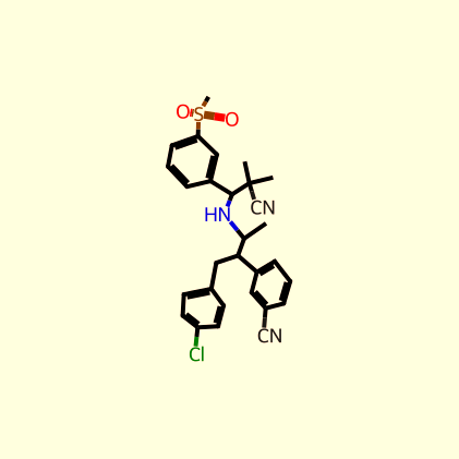 CC(NC(c1cccc(S(C)(=O)=O)c1)C(C)(C)C#N)C(Cc1ccc(Cl)cc1)c1cccc(C#N)c1